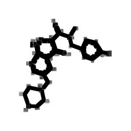 CN(Cc1ccc(Cl)cc1)C(=O)c1n[nH]c2ncc(CN3CCOCC3)cc2c1=O